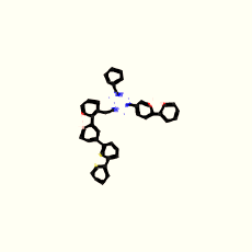 c1ccc(-c2nc(Cc3cccc4oc5ccc(-c6cccc7c6sc6ccccc67)cc5c34)nc(-c3ccc4c(c3)oc3ccccc34)n2)cc1